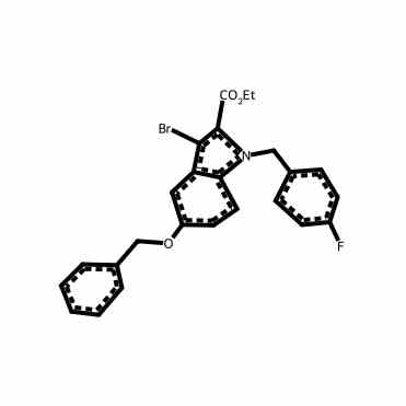 CCOC(=O)c1c(Br)c2cc(OCc3ccccc3)ccc2n1Cc1ccc(F)cc1